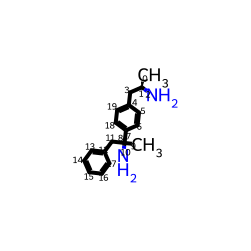 C[C@@H](N)Cc1ccc(C(C)(N)Cc2ccccc2)cc1